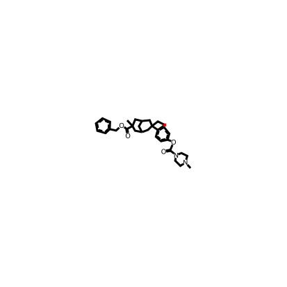 CCC1(c2ccc(OC(=O)N3CCN(C)CC3)cc2)CC2CC(CC(C)(C(=O)OCc3ccccc3)C2)C1